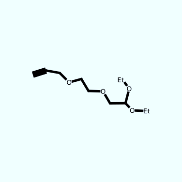 C#CCOCCOCC(OCC)OCC